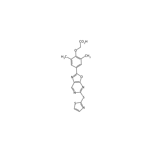 Cc1cc(-c2nc3cnc(Sc4nccs4)nc3o2)cc(C)c1OCC(=O)O